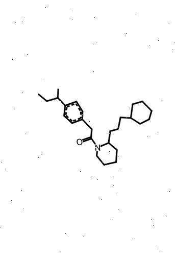 CCC(C)c1ccc(CC(=O)N2CCCCC2CCCC2CCCCC2)cc1